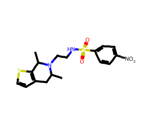 CC1Cc2ccsc2C(C)N1CCNS(=O)(=O)c1ccc([N+](=O)[O-])cc1